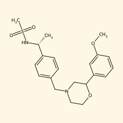 COc1cccc(C2CN(Cc3ccc([C@@H](C)NS(C)(=O)=O)cc3)CCO2)c1